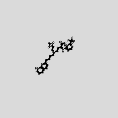 CS(=O)(=O)CCN(CCCCc1ccc2c(n1)NCCC2)CCC(Nc1ccnc(C(F)(F)F)n1)C(=O)O